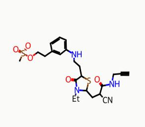 C#CCNC(=O)C(C#N)CC1SC(CCNc2cccc(CCOS(C)(=O)=O)c2)C(=O)N1CC